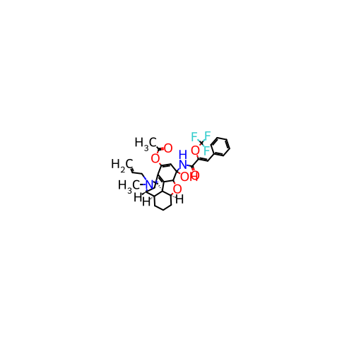 C=CC[N+]1(C)CC[C@@]23C4=C5C[C@@H]1[C@@H]2CCC[C@@H]3OC4C(O)(NC(=O)C(=Cc1ccccc1)OC(F)(F)F)C=C5OC(C)=O